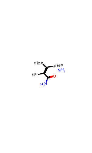 CCCCCCC(CCCCCC)=C(CCC)C(N)=O.N